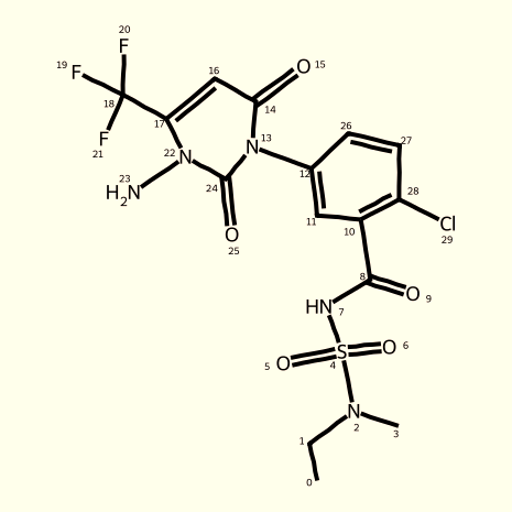 CCN(C)S(=O)(=O)NC(=O)c1cc(-n2c(=O)cc(C(F)(F)F)n(N)c2=O)ccc1Cl